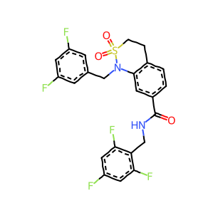 O=C(NCc1c(F)cc(F)cc1F)c1ccc2c(c1)N(Cc1cc(F)cc(F)c1)S(=O)(=O)CC2